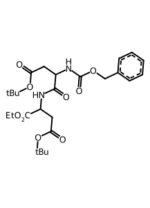 CCOC(=O)C(CC(=O)OC(C)(C)C)NC(=O)C(CC(=O)OC(C)(C)C)NC(=O)OCc1ccccc1